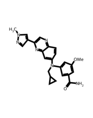 COc1cc(C(N)=O)cc(N(CC2CC2)c2ccc3ncc(-c4cnn(C)c4)nc3c2)c1